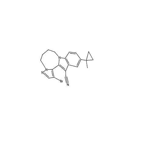 CC1(c2ccc3c(c2)c(C#N)c2n3CCCCn3ncc(Br)c3-2)CC1